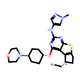 CC(=O)C[C@H]1CCc2sc3nc(Nc4cnn(C)c4)nc(O[C@H]4CC[C@H](N5CCOCC5)CC4)c3c21